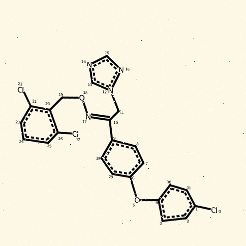 Clc1ccc(Oc2ccc(C(Cn3cncn3)=NOCc3c(Cl)cccc3Cl)cc2)cc1